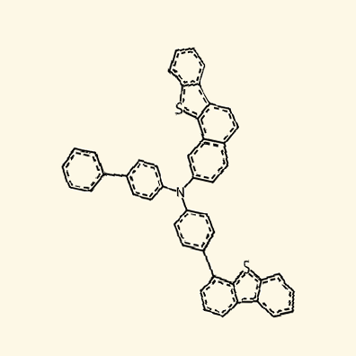 c1ccc(-c2ccc(N(c3ccc(-c4cccc5c4sc4ccccc45)cc3)c3ccc4ccc5c6ccccc6sc5c4c3)cc2)cc1